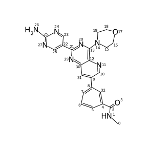 CNC(=O)c1cccc(-c2cnc3c(N4CCOCC4)nc(-c4cnc(N)nc4)nc3c2)c1